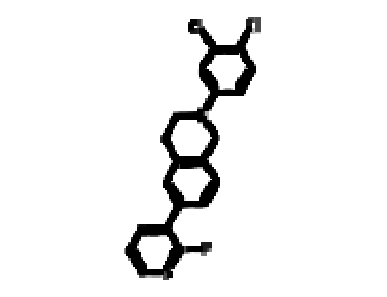 Fc1ncccc1-c1ccc2c(c1)CCN(c1ccc(Cl)c(Cl)c1)C2